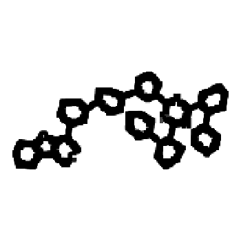 c1ccc(-c2ccccc2-c2nc(-c3cccc(-c4ccc(-c5cccc(-c6cccc7c6oc6ccccc67)c5)cc4)c3)nc(-c3ccccc3-c3ccccc3)n2)cc1